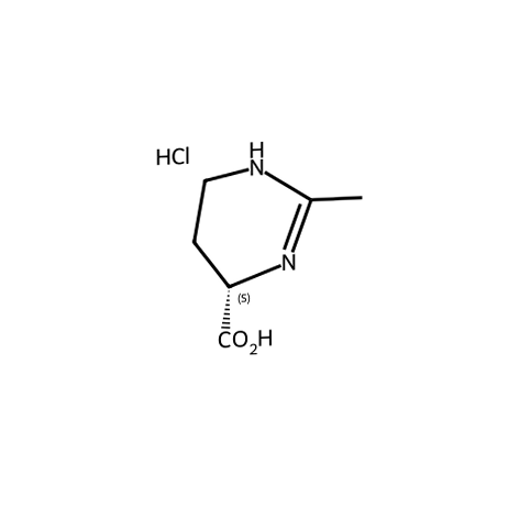 CC1=N[C@H](C(=O)O)CCN1.Cl